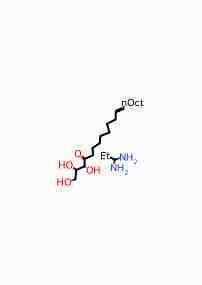 CCC(N)N.CCCCCCCCC=CCCCCCCCC(=O)C(O)C(O)CO